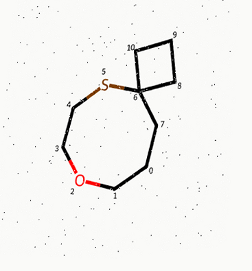 C1COCCSC2(C1)CCC2